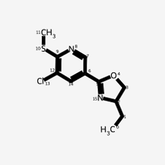 CCC1COC(c2cnc(SC)c(Cl)c2)=N1